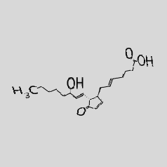 CCCCC[C@H](O)C=C[C@H]1C(=O)C=C[C@@H]1CC=CCCCC(=O)O